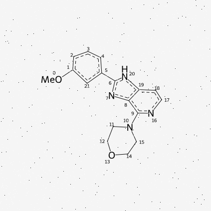 COc1cccc(-c2nc3c(N4CCOCC4)nccc3[nH]2)c1